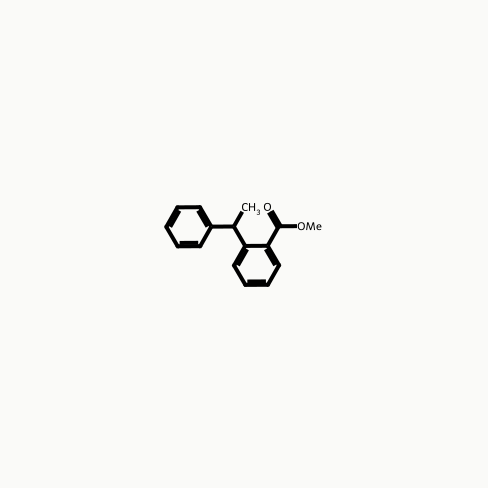 COC(=O)c1ccccc1C(C)c1ccccc1